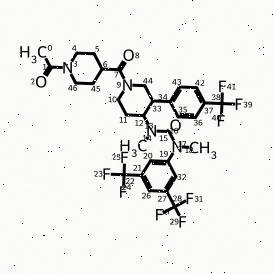 CC(=O)N1CCC(C(=O)N2CCC(N(C)C(=O)N(C)c3cc(C(F)(F)F)cc(C(F)(F)F)c3)C(c3ccc(C(F)(F)F)cc3)C2)CC1